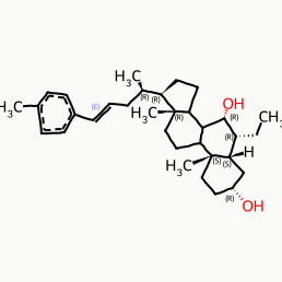 CC[C@H]1[C@@H](O)C2C3CC[C@H]([C@H](C)C/C=C/c4ccc(C)cc4)[C@@]3(C)CCC2[C@@]2(C)CC[C@@H](O)C[C@@H]12